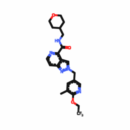 Cc1cc(Cn2cc3c(C(=O)NCC4CCOCC4)nccc3n2)cnc1OCC(F)(F)F